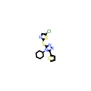 Clc1cnc(Sc2nnc(-c3cccs3)n2C2CCCCC2)s1